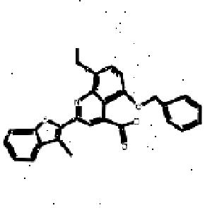 CCc1ccc(OCc2ccccc2)c2c(C(=O)Cl)cc(-c3sc4ccccc4c3C)nc12